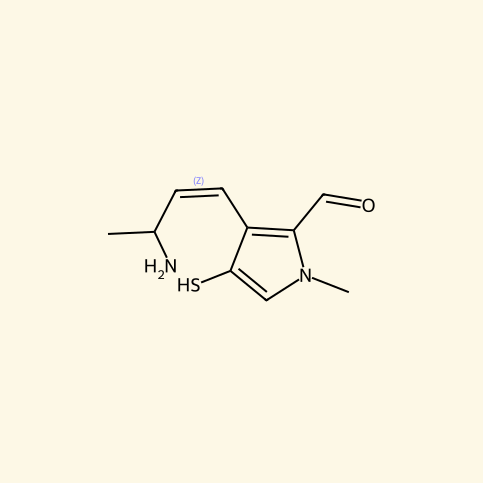 CC(N)/C=C\c1c(S)cn(C)c1C=O